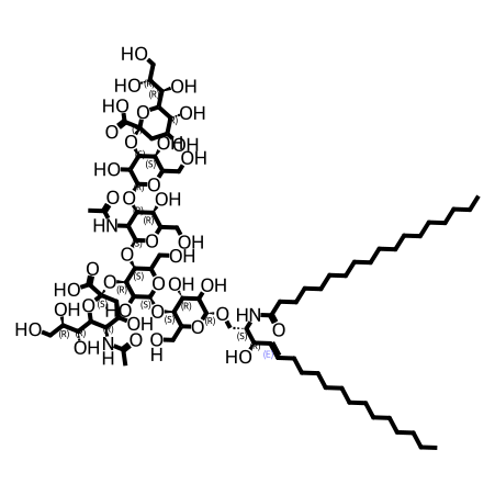 CCCCCCCCCCCCC/C=C/[C@@H](O)[C@H](CO[C@@H]1OC(CO)[C@@H](O[C@@H]2OC(CO)[C@H](O[C@@H]3OC(CO)[C@H](O)[C@H](O[C@@H]4OC(CO)[C@H](O)[C@H](O[C@]5(C(=O)O)CC(O)[C@@H](O)C([C@H](O)[C@H](O)CO)O5)C4O)C3NC(C)=O)[C@H](O[C@]3(C(=O)O)CC(O)[C@@H](NC(C)=O)C([C@H](O)[C@H](O)CO)O3)C2O)[C@H](O)C1O)NC(=O)CCCCCCCCCCCCCCCCC